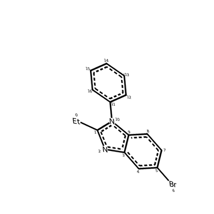 CCc1nc2cc(Br)ccc2n1-c1c[c]ccc1